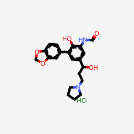 Cl.O=CNc1cc(C(O)CCN2CCCC2)cc(-c2ccc3c(c2)OCO3)c1O